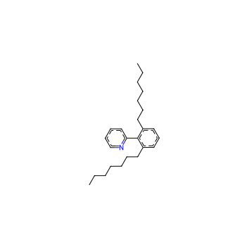 CCCCCCCc1cccc(CCCCCCC)c1-c1ccccn1